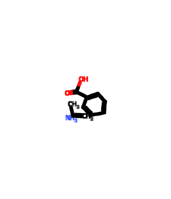 C=CC.N.O=C(O)c1ccccc1